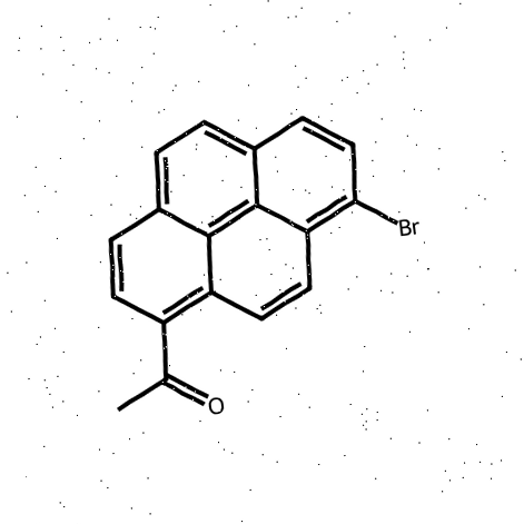 CC(=O)c1ccc2ccc3ccc(Br)c4ccc1c2c34